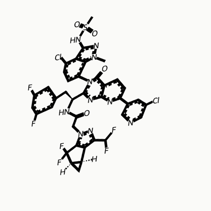 Cn1nc(NS(C)(=O)=O)c2c(Cl)ccc(-n3c([C@H](Cc4cc(F)cc(F)c4)NC(=O)Cn4nc(C(F)F)c5c4C(F)(F)[C@@H]4C[C@H]54)nc4nc(-c5cncc(Cl)c5)ccc4c3=O)c21